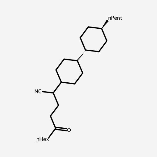 CCCCCCC(=O)CCC(C#N)C1CCC([C@H]2CC[C@H](CCCCC)CC2)CC1